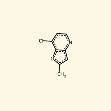 Cc1cc2nccc(Cl)c2o1